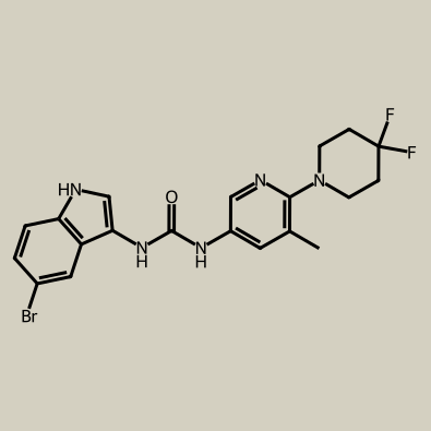 Cc1cc(NC(=O)Nc2c[nH]c3ccc(Br)cc23)cnc1N1CCC(F)(F)CC1